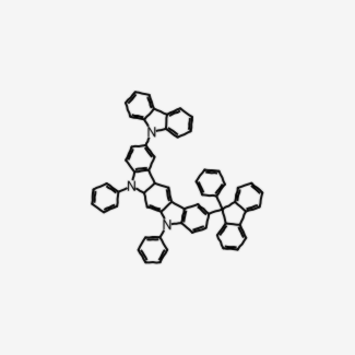 C1=c2c(n(-c3ccccc3)c3ccc(C4(c5ccccc5)c5ccccc5-c5ccccc54)cc23)=CC2C1c1cc(-n3c4ccccc4c4ccccc43)ccc1N2c1ccccc1